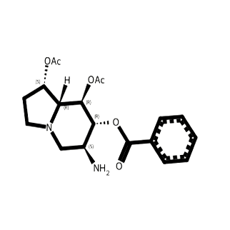 CC(=O)O[C@H]1[C@H](OC(=O)c2ccccc2)[C@@H](N)CN2CC[C@H](OC(C)=O)[C@H]12